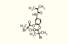 C=C(C)C(=O)Nc1ccc(OC(=O)C(C)(C)Br)c(OC(=O)C(C)(C)Br)c1